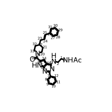 CC(=O)NCCNc1nc(-c2ccccc2)nc2[nH]c(C(=O)N3CCC(CC=Cc4ccccc4)CC3)cc12